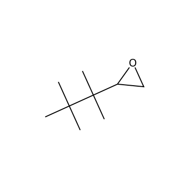 CC(C)(C)C(C)(C)C1CO1